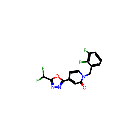 O=c1cc(-c2nnc(C(F)F)o2)ccn1Cc1cccc(F)c1F